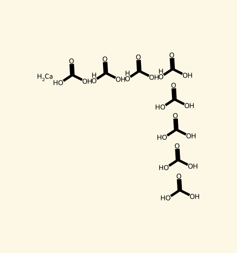 O=C(O)O.O=C(O)O.O=C(O)O.O=C(O)O.O=C(O)O.O=C(O)O.O=C(O)O.O=C(O)O.[CaH2]